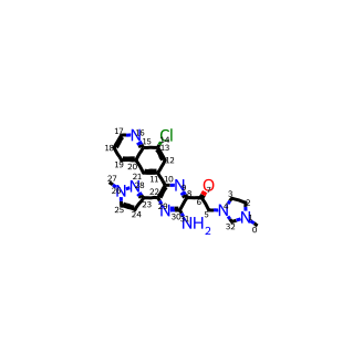 CN1CCN(CC(=O)c2nc(-c3cc(Cl)c4ncccc4c3)c(-c3ccn(C)n3)nc2N)C1